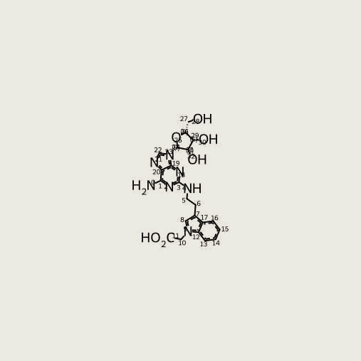 Nc1nc(NCCc2cn(CC(=O)O)c3ccccc23)nc2c1ncn2[C@@H]1O[C@H](CO)[C@@H](O)[C@H]1O